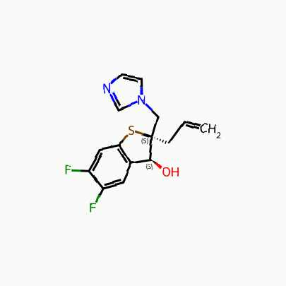 C=CC[C@@]1(Cn2ccnc2)Sc2cc(F)c(F)cc2[C@@H]1O